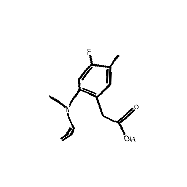 C=CN(C)c1cc(F)c(C)cc1CC(=O)O